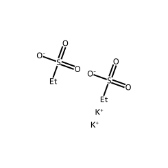 CCS(=O)(=O)[O-].CCS(=O)(=O)[O-].[K+].[K+]